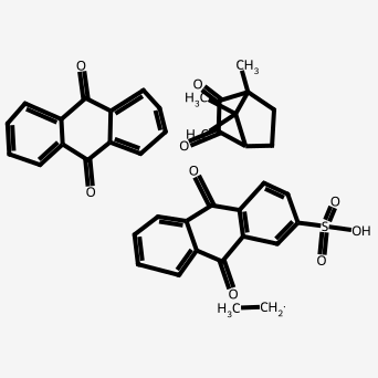 CC12CCC(C(=O)C1=O)C2(C)C.O=C1c2ccccc2C(=O)c2cc(S(=O)(=O)O)ccc21.O=C1c2ccccc2C(=O)c2ccccc21.[CH2]C